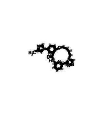 Cc1cn(-c2ccc3c(c2)C(=O)Nc2cccc(n2)-c2nncn2CCCCO3)cn1